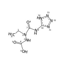 CCN(NC(=O)O)C(=O)Nc1nnn[nH]1